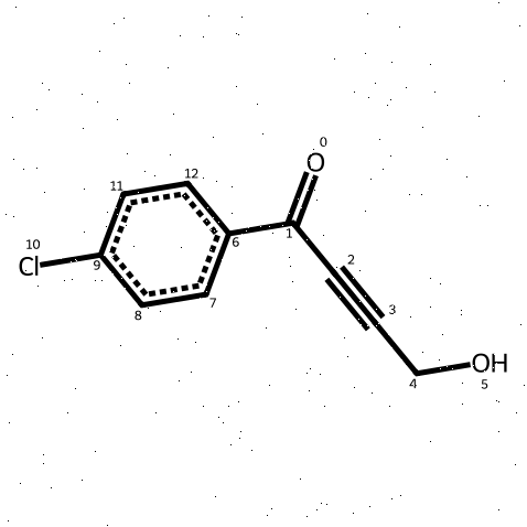 O=C(C#CCO)c1ccc(Cl)cc1